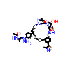 CC(=O)N/C(C)=C/N(N)C1CCC(C2(C)CBCCCc3cc(-c4scnc4C)ccc3CNC(=O)[C@@H]3C[C@@H](O)CN3C(=O)[C@H](C(C)(C)C)NCCC2)CC1